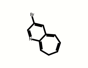 Brc1cnc2c(c1)=CC=CCC=2